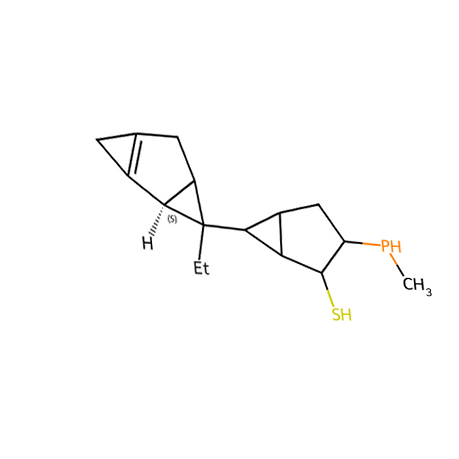 CCC1(C2C3CC(PC)C(S)C32)C2CC3=C(C3)[C@@H]21